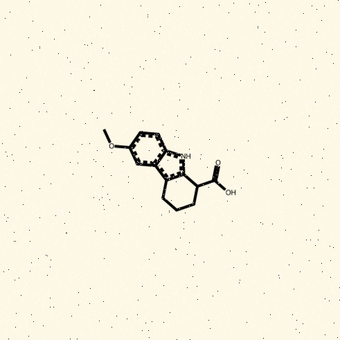 COc1ccc2[nH]c3c(c2c1)CCCC3C(=O)O